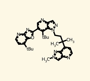 Cn1cc2nccc(C(C)(C)CCn3ncc4ncc(-c5nc6nccc(C(C)(C)C)c6o5)c(C(C)(C)C)c43)c2n1